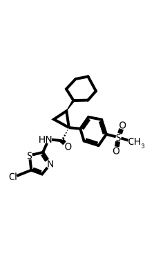 CS(=O)(=O)c1ccc([C@@]2(C(=O)Nc3ncc(Cl)s3)C[C@H]2C2CCCCC2)cc1